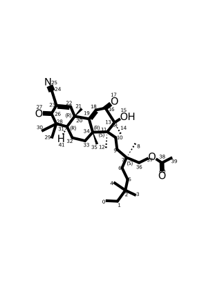 CCC(C)(C)CC[C@@](C)(CC[C@]1(C)[C@](C)(O)C(=O)C=C2[C@@]3(C)C=C(C#N)C(=O)C(C)(C)[C@@H]3CC[C@]21C)COC(C)=O